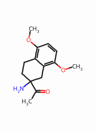 COc1ccc(OC)c2c1CCC(N)(C(C)=O)C2